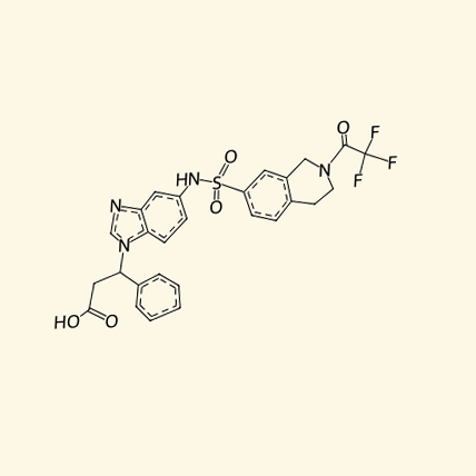 O=C(O)CC(c1ccccc1)n1cnc2cc(NS(=O)(=O)c3ccc4c(c3)CN(C(=O)C(F)(F)F)CC4)ccc21